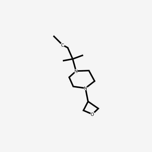 CCCC(C)(C)N1CCN(C2COC2)CC1